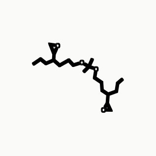 CCCC(CCCOC(C)(C)OCCCC(CCC)C1CO1)C1CO1